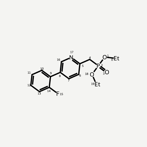 CCOP(=O)(Cc1ccc(-c2ccccc2F)cn1)OCC